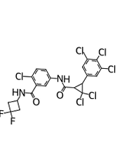 O=C(NC1CC(F)(F)C1)c1cc(NC(=O)C2C(c3cc(Cl)c(Cl)c(Cl)c3)C2(Cl)Cl)ccc1Cl